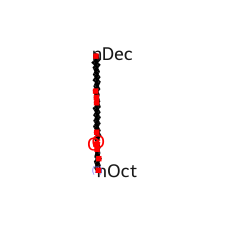 CCCCCCCC/C=C\CCCCCCCC(=O)OCCCCCCCCCCCCCCCCCCCCCCCCCCCCCCCCCCCCCCC